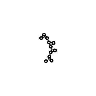 c1ccc(-n2c3ccccc3c3cc(-c4ccc5c(c4)c4ccccc4n5-c4ccc5c6ccc(-c7ccc8c9cccc%10c%11ccccc%11n(c8c7)c%109)cc6c6ccccc6c5c4)ccc32)cc1